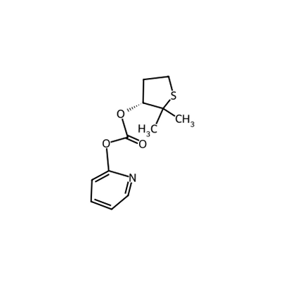 CC1(C)SCC[C@H]1OC(=O)Oc1ccccn1